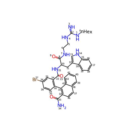 CCCCCCNC(=N)NCCNC(=O)C(Cc1c[nH]c2ccccc12)NC(=O)c1cc(Br)ccc1-c1c(C(N)=O)ccc2ccccc12